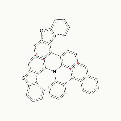 c1ccc(N(c2ccccc2-c2cccc3oc4ccccc4c23)c2cccc3sc4ccccc4c23)c(-c2cccc3ccccc23)c1